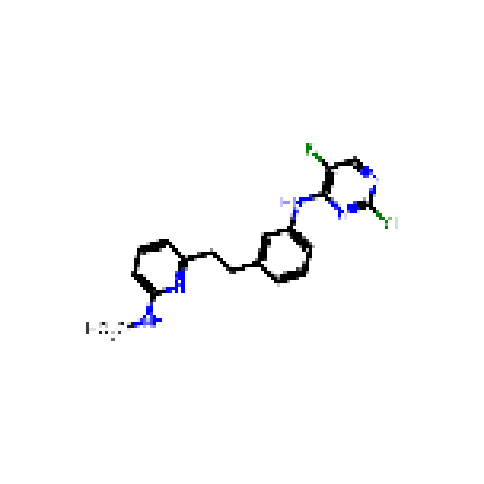 O=C(O)Nc1cccc(CCc2cccc(Nc3nc(Cl)ncc3F)c2)n1